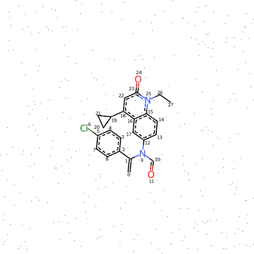 C=C(c1ccc(Cl)cc1)N(C=O)c1ccc2c(c1)c(C1CC1)cc(=O)n2CC